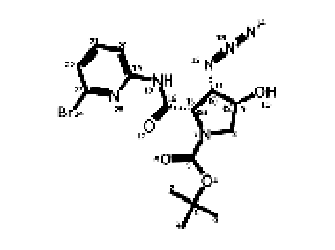 CC(C)(C)OC(=O)N1C[C@H](O)[C@@H](N=[N+]=[N-])[C@H]1C(=O)Nc1cccc(Br)n1